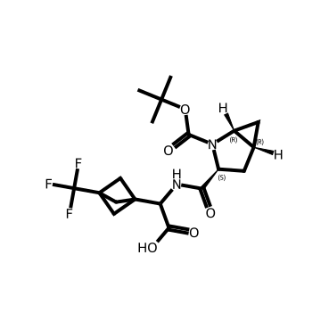 CC(C)(C)OC(=O)N1[C@@H]2C[C@@H]2C[C@H]1C(=O)NC(C(=O)O)C12CC(C(F)(F)F)(C1)C2